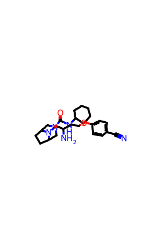 N#Cc1ccc(OCCC(N)CN2C3CCC2CN(C(=O)NC2CCCCC2)C3)cc1